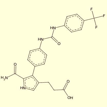 NC(=O)c1[nH]cc(CCC(=O)O)c1-c1ccc(NC(=O)Nc2ccc(C(F)(F)F)cc2)cc1